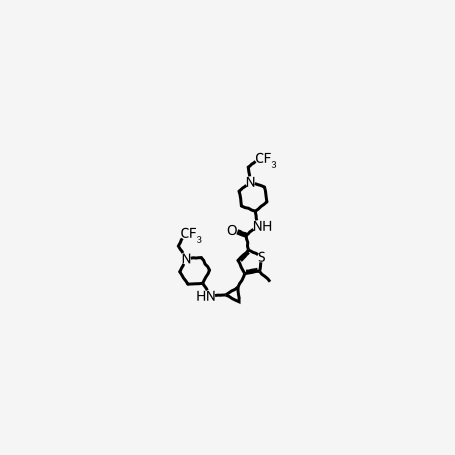 Cc1sc(C(=O)NC2CCN(CC(F)(F)F)CC2)cc1C1CC1NC1CCN(CC(F)(F)F)CC1